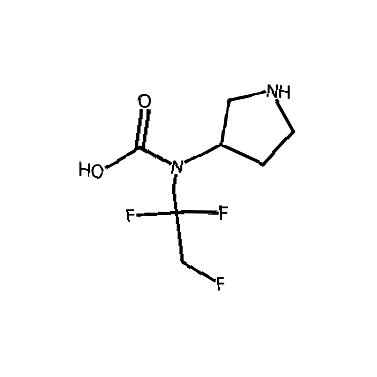 O=C(O)N(C1CCNC1)C(F)(F)CF